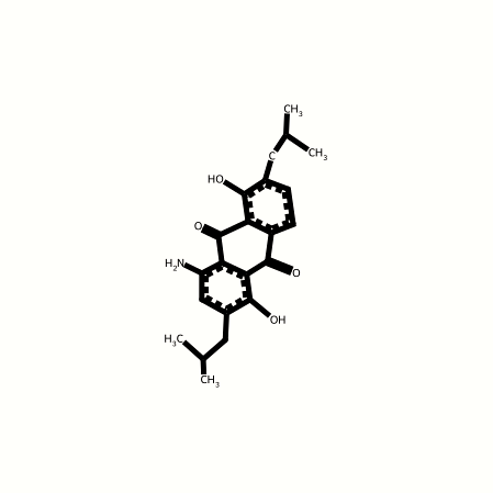 CC(C)Cc1ccc2c(c1O)C(=O)c1c(N)cc(CC(C)C)c(O)c1C2=O